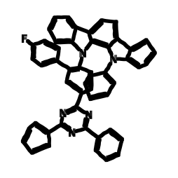 Fc1ccc(-c2cc(-c3nc(-c4ccccc4)nc(-c4ccccc4)n3)ccc2-n2c3ccccc3c3ccc4c5ccccc5n(-c5ccccc5)c4c32)cc1